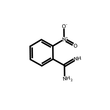 N=C(N)c1ccccc1[N+](=O)[O-]